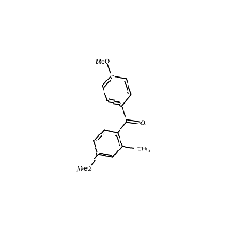 COc1ccc(C(=O)c2ccc(OC)cc2C)cc1